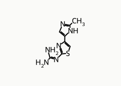 Cc1ncc(-c2csc(N=C(N)N)n2)[nH]1